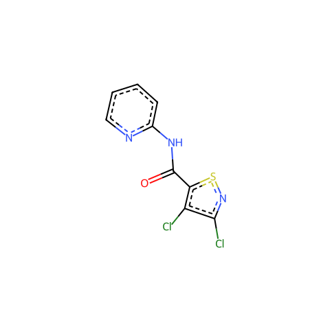 O=C(Nc1ccccn1)c1snc(Cl)c1Cl